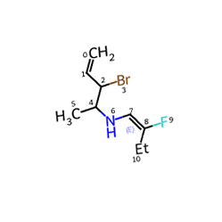 C=CC(Br)C(C)N/C=C(/F)CC